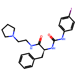 O=C(Nc1ccc(I)cc1)N[C@@H](Cc1ccccc1)C(=O)NCCN1CCCC1